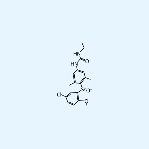 CCNC(=O)Nc1cc(C)c([S+]([O-])c2cc(Cl)ccc2OC)c(C)c1